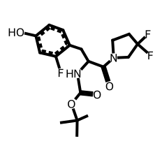 CC(C)(C)OC(=O)NC(Cc1ccc(O)cc1F)C(=O)N1CCC(F)(F)C1